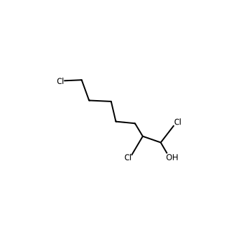 OC(Cl)C(Cl)CCCCCCl